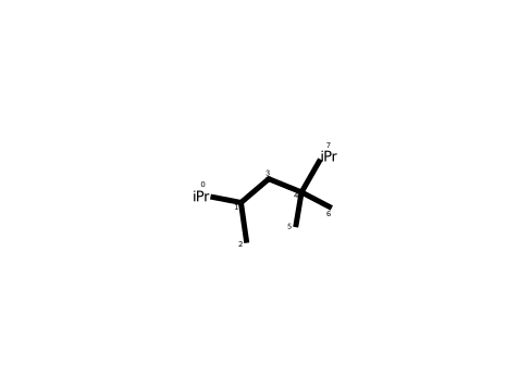 CC(C)C(C)CC(C)(C)C(C)C